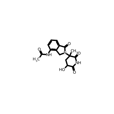 CC(=O)Nc1cccc2c1CN(C1(C)CC(O)C(=O)NC1=O)C2=O